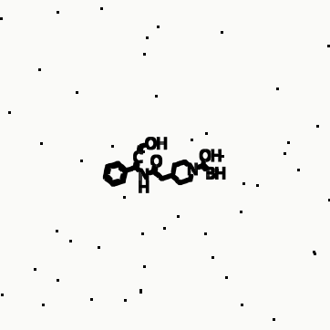 B=C(O)N1CCC(CC(=O)NC(=C=CO)c2ccccc2)CC1